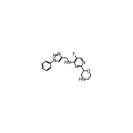 Fc1cnc(C2CNCCO2)nc1NCc1cn(-c2ccccc2)nn1